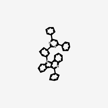 c1ccc(-c2cc(-c3ccccc3)nc(-c3cccc(-n4c5ccccc5c5c(-c6ccccc6)nc6ccccc6c54)c3)n2)cc1